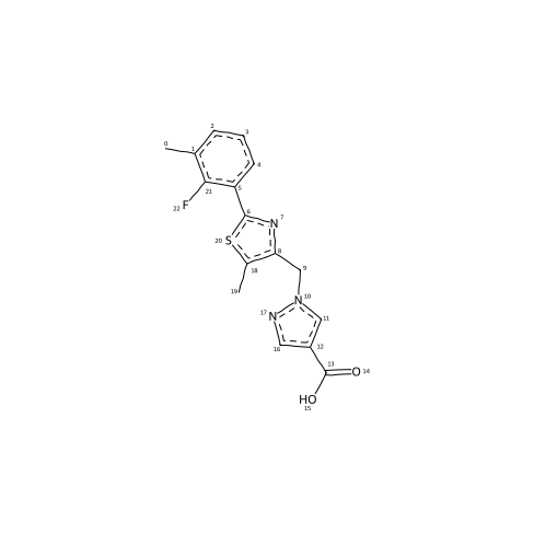 Cc1cccc(-c2nc(Cn3cc(C(=O)O)cn3)c(C)s2)c1F